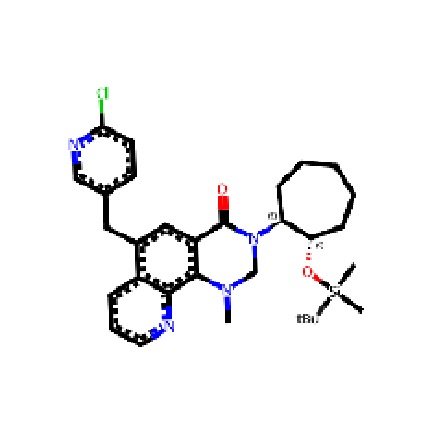 CN1CN([C@H]2CCCCC[C@@H]2O[Si](C)(C)C(C)(C)C)C(=O)c2cc(Cc3ccc(Cl)nc3)c3cccnc3c21